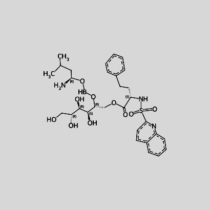 CC(C)C[C@H](N)OBO[C@H](COC(=O)[C@H](CCc1ccccc1)NS(=O)(=O)c1ccc2ccccc2n1)[C@@H](O)[C@H](O)[C@H](O)CO